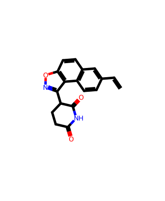 C=Cc1ccc2c(ccc3onc(C4CCC(=O)NC4=O)c32)c1